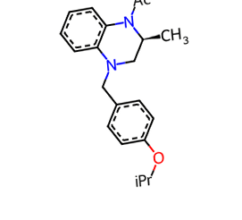 CC(=O)N1c2ccccc2N(Cc2ccc(OC(C)C)cc2)C[C@@H]1C